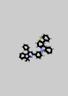 CC1(C)c2ccccc2-c2c(-c3ccccc3)cc(-c3cccc(-n4c5ccccc5c5c6c(ccc54)sc4ccccc46)c3)nc21